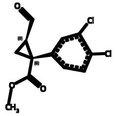 COC(=O)[C@]1(c2ccc(Cl)c(Cl)c2)C[C@H]1C=O